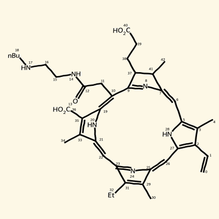 C=Cc1c(C)c2cc3nc(c(CC(=O)NCCNCCCC)c4[nH]c(cc5nc(cc1[nH]2)C(C)=C5CC)c(C)c4C(=O)O)C(CCC(=O)O)C3C